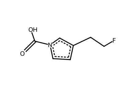 O=C(O)n1ccc(CCF)c1